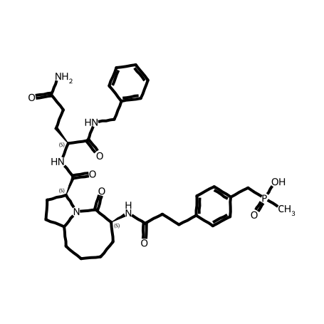 CP(=O)(O)Cc1ccc(CCC(=O)N[C@H]2CCCCC3CC[C@@H](C(=O)N[C@@H](CCC(N)=O)C(=O)NCc4ccccc4)N3C2=O)cc1